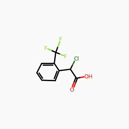 O=C(O)C(Cl)c1ccccc1C(F)(F)F